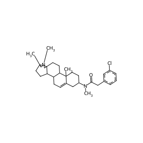 CC1C2CCC3C4CC=C5CC(N(C)C(=O)Cc6cccc(Cl)c6)CCC5(C)C4CCC32CN1C